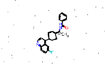 C[C@@H](NC(=O)c1ccccc1)C1CCC(c2ccnc3ccc(F)cc23)CC1